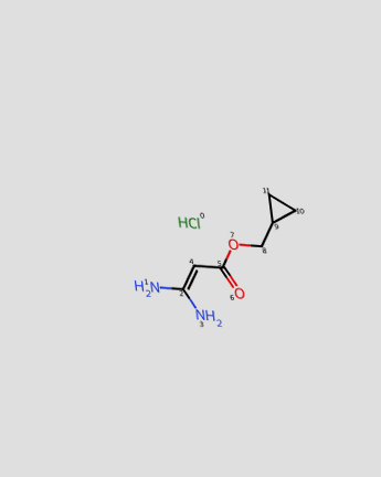 Cl.NC(N)=CC(=O)OCC1CC1